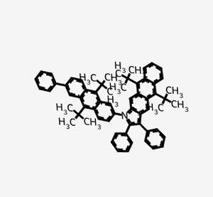 CC(C)(C)c1c2ccc(-n3c(-c4ccccc4)c(-c4ccccc4)c4cc5c(C(C)(C)C)c6ccccc6c(C(C)(C)C)c5cc43)cc2c(C(C)(C)C)c2ccc(-c3ccccc3)cc12